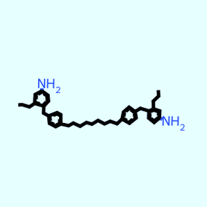 CCCc1cc(N)ccc1Cc1ccc(CCCCCCCCCc2ccc(Cc3ccc(N)cc3CCC)cc2)cc1